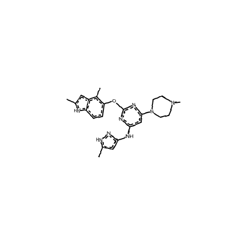 Cc1cc(Nc2cc(N3CCN(C)CC3)nc(Oc3ccc4[nH]c(C)cc4c3C)n2)n[nH]1